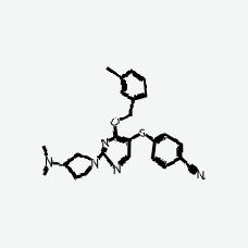 Cc1cccc(COc2nc(N3CC[C@@H](N(C)C)C3)ncc2Sc2ccc(C#N)cc2)c1